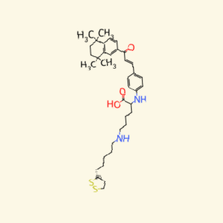 CC1(C)CCC(C)(C)c2cc(C(=O)C=Cc3ccc(NC(CCCCNCCCCC[C@@H]4CCSS4)C(=O)O)cc3)ccc21